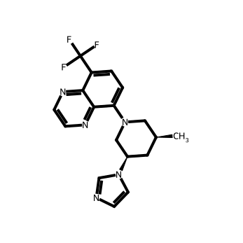 C[C@H]1C[C@@H](n2ccnc2)CN(c2ccc(C(F)(F)F)c3nccnc23)C1